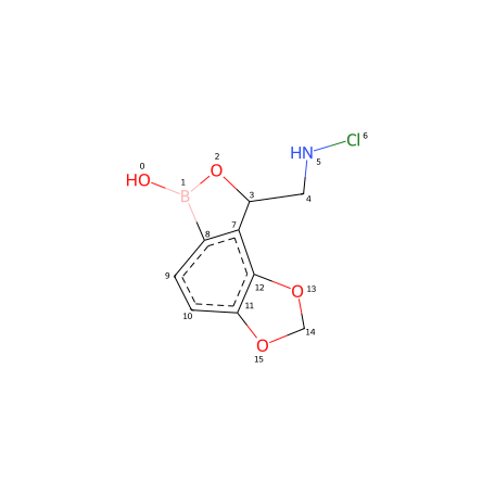 OB1OC(CNCl)c2c1ccc1c2OCO1